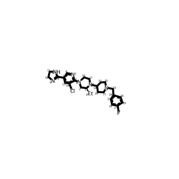 CC[C@H]1CN(c2ncc(C3=NCCN3)cc2Cl)CCN1C1CCN(Cc2ccc(F)cc2)CC1